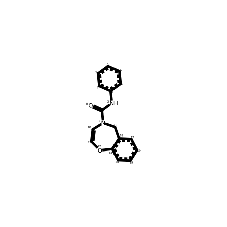 O=C(Nc1ccccc1)N1C=COc2ccccc2C1